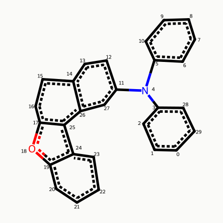 c1ccc(N(c2ccccc2)c2ccc3ccc4oc5ccccc5c4c3c2)cc1